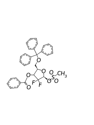 CS(=O)(=O)O[C@@H]1O[C@H](COC(c2ccccc2)(c2ccccc2)c2ccccc2)C(OC(=O)c2ccccc2)C1(F)F